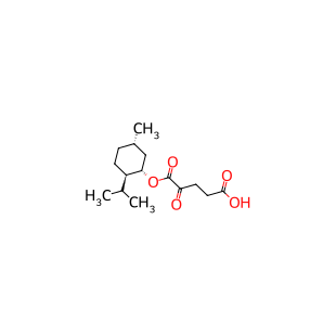 CC(C)[C@H]1CC[C@H](C)C[C@@H]1OC(=O)C(=O)CCC(=O)O